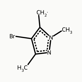 [CH2]c1c(Br)c(C)nn1C